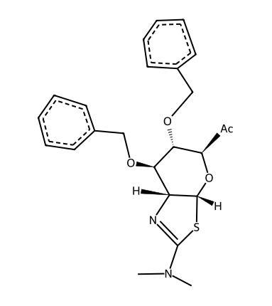 CC(=O)[C@H]1O[C@@H]2SC(N(C)C)=N[C@@H]2[C@@H](OCc2ccccc2)[C@@H]1OCc1ccccc1